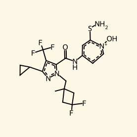 CC1(Cn2nc(C3CC3)c(C(F)(F)F)c2C(=O)Nc2cc[n+](O)c(SN)c2)CC(F)(F)C1